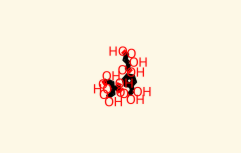 O=C(O)C(O)c1ccccc1.O=C(O)CC(O)(CC(=O)O)C(=O)O.O=C(O)CC(O)C(=O)O